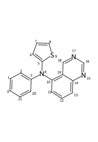 c1ccc(N(c2cccs2)c2cccc3ncncc23)cc1